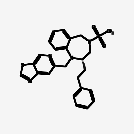 O=S(=O)(N1Cc2ccccc2N(Cc2cc3ncsc3cn2)[C@@H](CCc2ccccc2)C1)C(F)(F)F